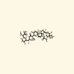 CC[C@@H](C(=O)[C@@H](C)[C@@H](O)[C@H](C)[C@@H]1O[C@@H]([C@@H](CC)C(=O)O)CC[C@@H]1C)[C@H]1O[C@]2(C=C[C@@H](OC(=O)OC)[C@]3(CC[C@@](C)([C@H]4CC[C@](O)(CC)[C@H](C)O4)O3)O2)[C@H](C)C[C@@H]1C